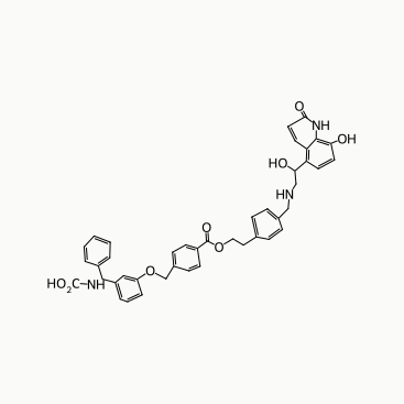 O=C(O)NC(c1ccccc1)c1cccc(OCc2ccc(C(=O)OCCc3ccc(CNCC(O)c4ccc(O)c5[nH]c(=O)ccc45)cc3)cc2)c1